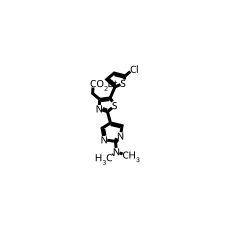 CCOC(=O)Cc1nc(-c2cnc(N(C)C)nc2)sc1-c1ccc(Cl)s1